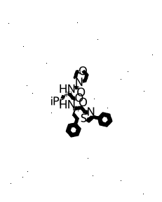 CC(C)C[C@H](NC(=O)N1CCOCC1)C(=O)N[C@H](CCc1ccccc1)C(=O)c1nc(-c2ccccc2)cs1